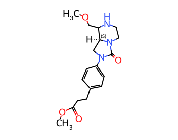 COCC1NCCN2C(=O)N(c3ccc(CCC(=O)OC)cc3)C[C@@H]12